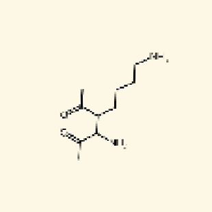 CC(=O)C(N)C(CCCCN)C(C)=O